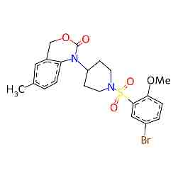 COc1ccc(Br)cc1S(=O)(=O)N1CCC(N2C(=O)OCc3cc(C)ccc32)CC1